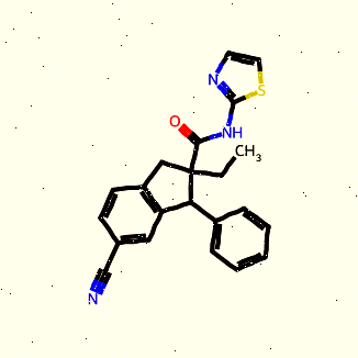 CCC1(C(=O)Nc2nccs2)Cc2ccc(C#N)cc2C1c1ccccc1